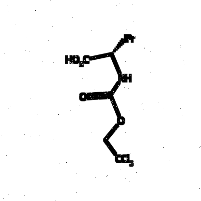 CC(C)[C@H](NC(=O)OCC(Cl)(Cl)Cl)C(=O)O